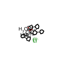 CC(C)(C)C1=Cc2c(ccc(-c3ccccc3)c2-c2ccccc2-c2ccccc2)[CH]1[Zr+2]1[c]2cccc3c2[SiH]1c1ccccc1-3.[Cl-].[Cl-]